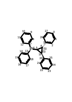 c1ccc([C@H]2C(P(c3ccccc3)c3ccccc3)[C@@H]2c2ccccc2)cc1